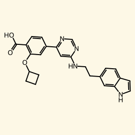 O=C(O)c1ccc(-c2cc(NCCc3ccc4cc[nH]c4c3)ncn2)cc1OC1CCC1